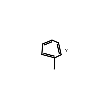 Cc1ccccc1.[Y]